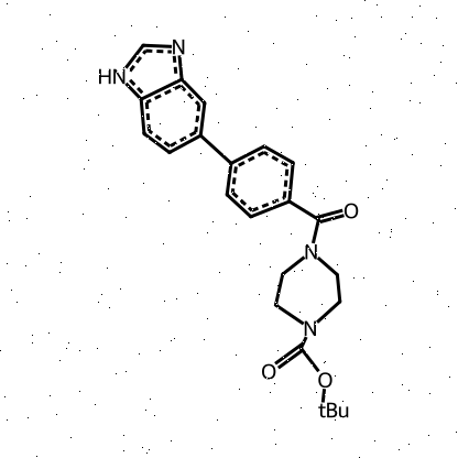 CC(C)(C)OC(=O)N1CCN(C(=O)c2ccc(-c3ccc4[nH]cnc4c3)cc2)CC1